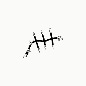 [O]=[Al][O]C(F)(F)C(F)(F)C(F)(F)C(F)(F)F